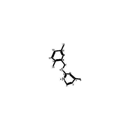 Cc1ccnc(SCc2cc(C)ccc2C)c1